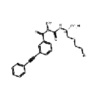 CCCN(C(=O)N[C@@H](CSCCC(C)C)C(=O)O)C(=O)c1cccc(C#Cc2ccccc2)c1